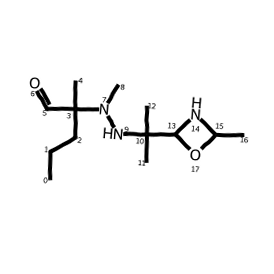 CCCC(C)(C=O)N(C)NC(C)(C)C1NC(C)O1